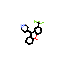 FC(F)(F)c1ccc2c(c1)C(=C1CCNCC1)c1ccccc1O2